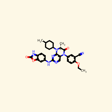 CCOc1ccc(N2C(=O)[C@@H](C)N(C3CCC(C)CC3)c3nc(Nc4ccc5[nH]c(=O)oc5c4)ncc32)cc1C#N